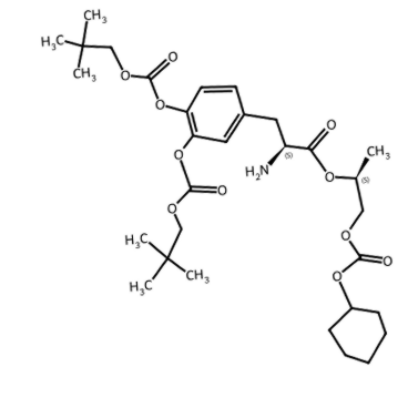 C[C@@H](COC(=O)OC1CCCCC1)OC(=O)[C@@H](N)Cc1ccc(OC(=O)OCC(C)(C)C)c(OC(=O)OCC(C)(C)C)c1